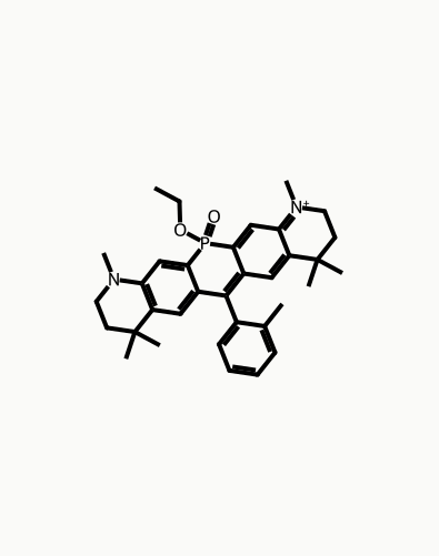 CCOP1(=O)c2cc3c(cc2C(c2ccccc2C)=c2cc4c(cc21)=[N+](C)CCC4(C)C)C(C)(C)CCN3C